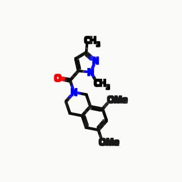 COc1cc2c(c(OC)c1)CN(C(=O)c1cc(C)nn1C)CC2